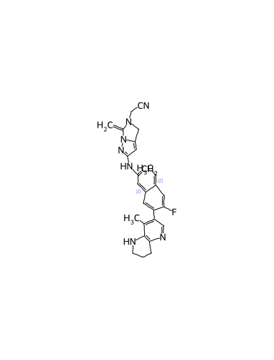 C=C(/C=c1/cc(-c2cnc3c(c2C)NCCC3)c(F)c/c1=C/C)Nc1cc2n(n1)C(=C)N(CC#N)C2